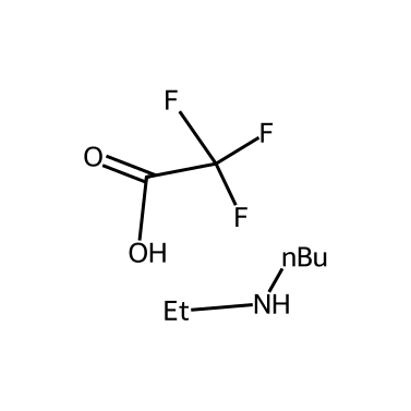 CCCCNCC.O=C(O)C(F)(F)F